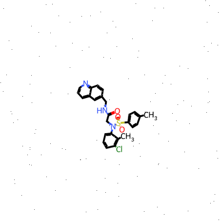 Cc1ccc(S(=O)(=O)N(CC(=O)NCc2ccc3ncccc3c2)c2cccc(Cl)c2C)cc1